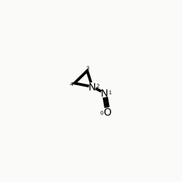 O=NN1CC1